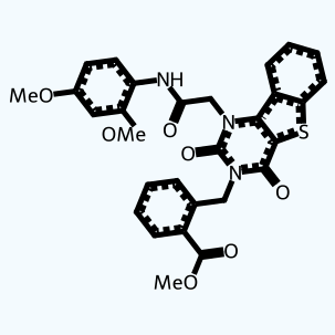 COC(=O)c1ccccc1Cn1c(=O)c2sc3ccccc3c2n(CC(=O)Nc2ccc(OC)cc2OC)c1=O